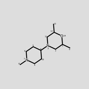 CC1CN(C2CCN(C)CC2)CC(C)O1